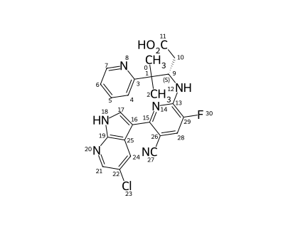 CC(C)(c1ccccn1)[C@H](CC(=O)O)Nc1nc(-c2c[nH]c3ncc(Cl)cc23)c(C#N)cc1F